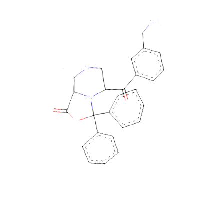 Cl.NCc1cccc(C(=O)C2CNCC3C(=O)OC(c4ccccc4)(c4ccccc4)N32)c1